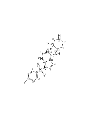 Cc1ccc(S(=O)(=O)n2ccc3c(NC4CCNCC4(F)F)ncnc32)cc1